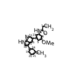 C=CC(=O)Nc1cc(OC)cc(-c2cnc3[nH]cc(-c4cccc(C)c4)c3c2)c1